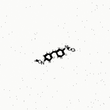 C=C=Nc1ccc(Cc2cccc(N=C=O)c2)cc1